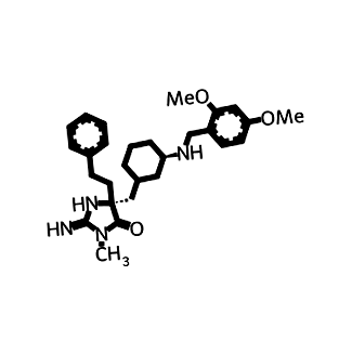 COc1ccc(CN[C@@H]2CCCC(C[C@@]3(CCc4ccccc4)NC(=N)N(C)C3=O)C2)c(OC)c1